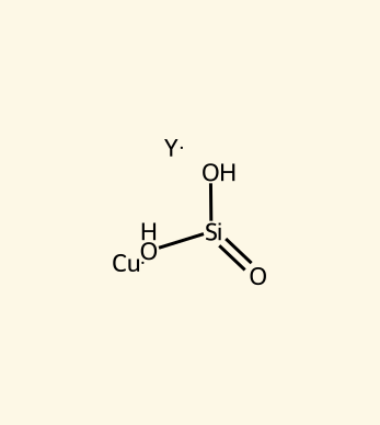 O=[Si](O)O.[Cu].[Y]